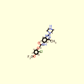 Cc1nc(N2CCNCC2)nc2ccc(NC(=O)COc3ccc(OC(F)(F)F)cc3Cl)cc12